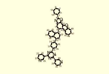 c1ccc(-c2nc3cc(-c4ccc(-c5ccc(-c6nc(-c7cccnc7)nc(-c7cccnc7)n6)cc5)c5ccccc45)c4c5ccccc5oc4c3o2)cc1